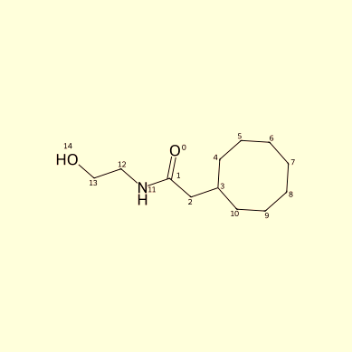 O=C(CC1CCCCCCC1)NCCO